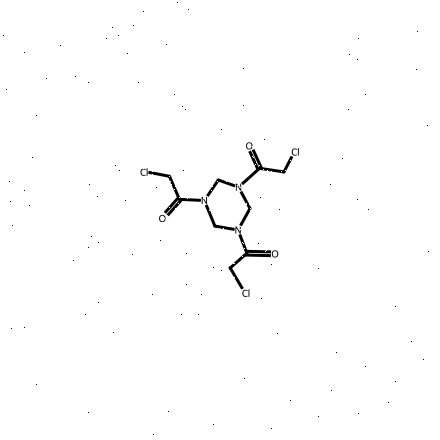 O=C(CCl)N1CN(C(=O)CCl)CN(C(=O)CCl)C1